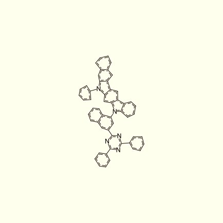 c1ccc(-c2nc(-c3ccccc3)nc(-c3cc(-n4c5ccccc5c5cc6c7cc8ccccc8cc7n(-c7ccccc7)c6cc54)c4ccccc4c3)n2)cc1